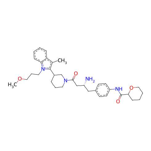 COCCCn1c(C2CCCN(C(=O)C[C@H](N)Cc3ccc(NC(=O)C4CCCCO4)cc3)C2)c(C)c2ccccc21